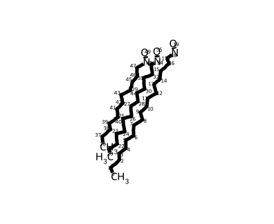 CCCCCCCCCCCCCCCCCCN=O.CCCCCCCCCCCCCCN=O.CCCCCCCCCCCCN=O